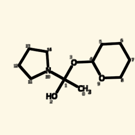 CC(O)(OC1CCCCO1)N1CCCC1